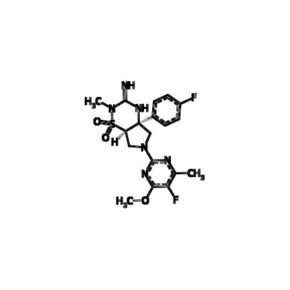 COc1nc(N2C[C@@H]3[C@](c4ccc(F)cc4)(C2)NC(=N)N(C)S3(=O)=O)nc(C)c1F